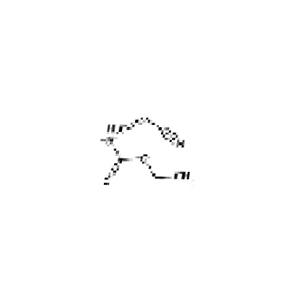 C=CC#N.CCOC(=S)S